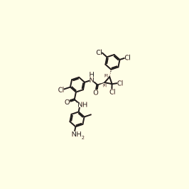 Cc1cc(N)ccc1NC(=O)c1cc(NC(=O)[C@H]2[C@H](c3cc(Cl)cc(Cl)c3)C2(Cl)Cl)ccc1Cl